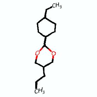 CCCC1COC(C2CCC(CC)CC2)OC1